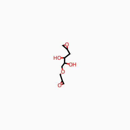 OC(COCC1CO1)C(O)CC1CO1